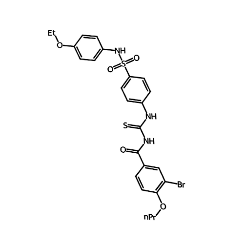 CCCOc1ccc(C(=O)NC(=S)Nc2ccc(S(=O)(=O)Nc3ccc(OCC)cc3)cc2)cc1Br